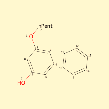 CCCCCOc1cccc(O)c1.c1ccccc1